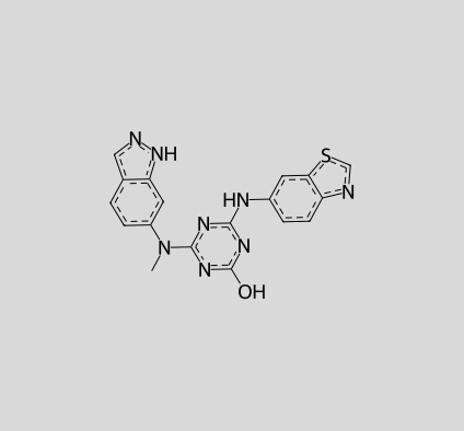 CN(c1ccc2cn[nH]c2c1)c1nc(O)nc(Nc2ccc3ncsc3c2)n1